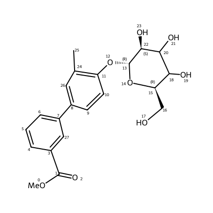 COC(=O)c1cccc(-c2ccc(O[C@H]3O[C@H](CO)C(O)C(O)[C@@H]3O)c(C)c2)c1